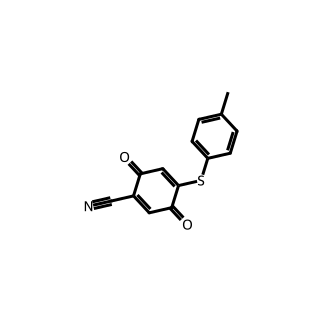 Cc1ccc(SC2=CC(=O)C(C#N)=CC2=O)cc1